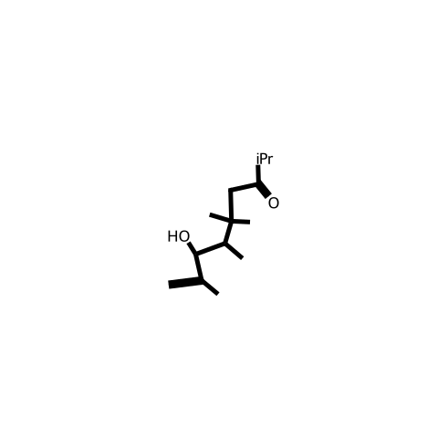 C=C(C)C(O)C(C)C(C)(C)CC(=O)C(C)C